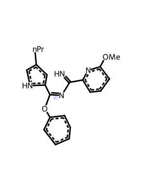 CCCc1c[nH]c(/C(=N\C(=N)c2cccc(OC)n2)Oc2ccccc2)c1